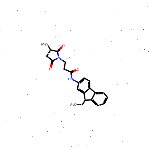 CSC1CC(=O)N(CCC(=O)Nc2ccc3c(c2)C(COC(C)=O)c2ccccc2-3)C1=O